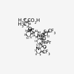 CCC[C@H]1N(C(=O)c2ncccc2C(F)(F)F)CCC[C@@]1(Oc1csc(C(F)(F)F)c1)C(=O)N1CCC(C#N)(c2ccccc2OCCC(C)(C)C(=O)O)CC1